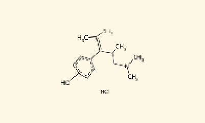 CC(C)=C(c1ccc(O)cc1)C(C)CN(C)C.Cl